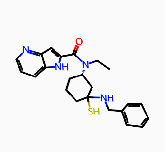 CCN(C(=O)c1cc2ncccc2[nH]1)[C@H]1CCCC(S)(NCc2ccccc2)C1